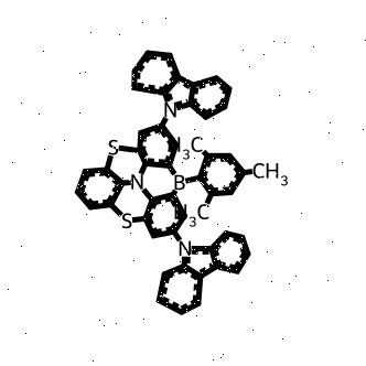 Cc1cc(C)c(B2c3cc(-n4c5ccccc5c5ccccc54)cc4c3N3c5c(cccc5Sc5cc(-n6c7ccccc7c7ccccc76)cc2c53)S4)c(C)c1